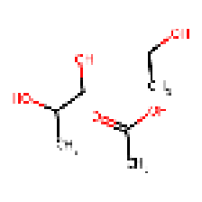 CC(=O)O.CC(O)CO.CCO